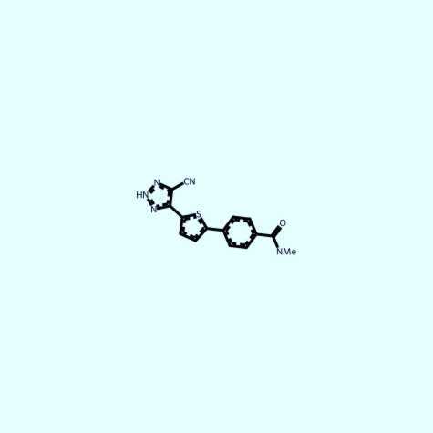 CNC(=O)c1ccc(-c2ccc(-c3n[nH]nc3C#N)s2)cc1